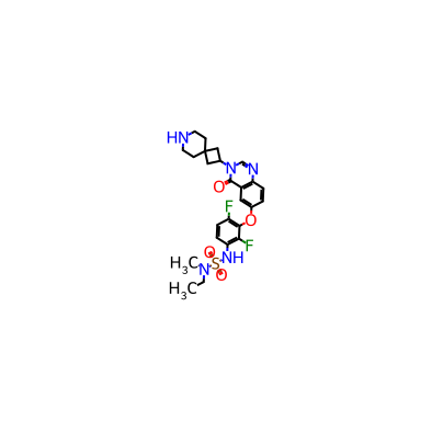 CCN(C)S(=O)(=O)Nc1ccc(F)c(Oc2ccc3ncn(C4CC5(CCNCC5)C4)c(=O)c3c2)c1F